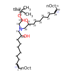 CCCCCCCC/C=C\CCCCCCC(O)CN(CCO[Si](C)(C)C(C)(C)C)CC(O)CCCCCC/C=C\CCCCCCCC